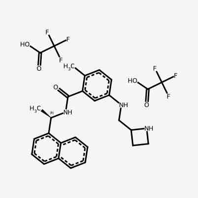 Cc1ccc(NCC2CCN2)cc1C(=O)N[C@H](C)c1cccc2ccccc12.O=C(O)C(F)(F)F.O=C(O)C(F)(F)F